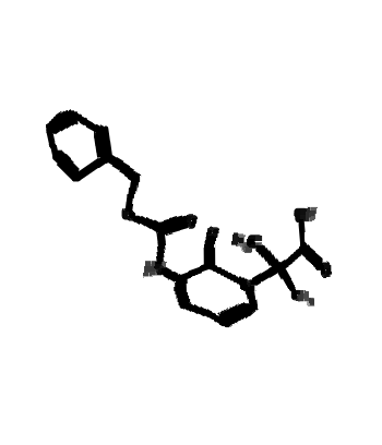 CC(C)(C(=O)O)n1cccc(NC(=O)OCc2ccccc2)c1=O